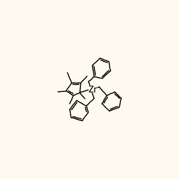 CC1=C(C)[C](C)([Zr]([CH2]c2ccccc2)([CH2]c2ccccc2)[CH2]c2ccccc2)C(C)=C1C